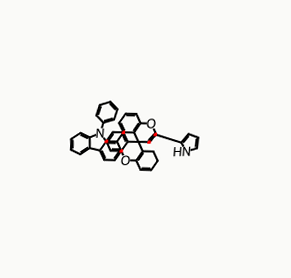 C1=CC2=C(CC1)C1(c3ccccc3O2)c2ccc(-c3ccc[nH]3)cc2Oc2cccc(-c3cccc4c5ccccc5n(-c5ccccc5)c34)c21